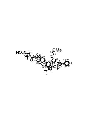 C=C(C)[C@@H]1CC[C@]2(C(=O)N3C[C@H](OCCOC)C[C@H]3c3nc(-c4ccccc4)c[nH]3)CC[C@]3(C)[C@H](CC[C@@H]4[C@@]5(C)CC[C@H](OC(=O)[C@H]6C[C@@H](C(=O)O)C6(C)C)C(C)(C)[C@@H]5CC[C@]43C)[C@@H]12